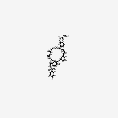 COC(=O)[C@@H](C)Cc1cccc(C2CCCCC(C)(C)c3cn(nn3)Cc3c(c(F)cc4c3ccn4S(=O)(=O)c3ccc(C)cc3)Sc3cccc(c3)-c3ccn2n3)c1